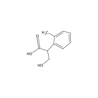 Cc1ccccc1C(CO)C(=O)O